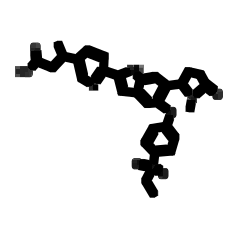 CCS(=O)(=O)c1ccc(Oc2cc3cc(-c4ccc(C(C)CC(=O)O)cn4)[nH]c3cc2C2CCC(=O)N2C)cc1